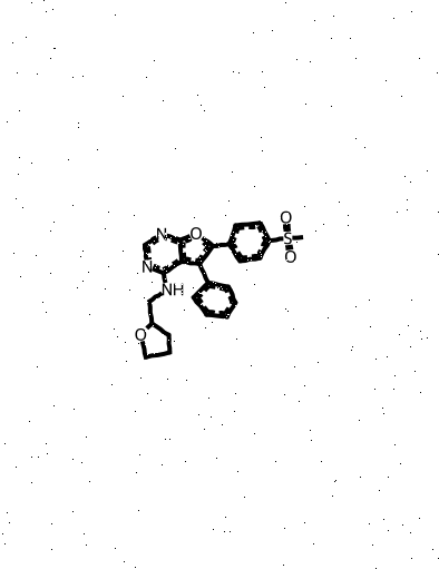 CS(=O)(=O)c1ccc(-c2oc3ncnc(NCC4CCCO4)c3c2-c2ccccc2)cc1